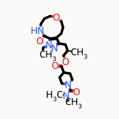 CCn1nc(C[C@@H](C)COC(=O)C2CCN(C(=O)N(C)C)CC2)c2c1C(=O)NCCCOCCC2